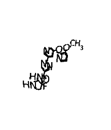 CCOc1cccnc1Oc1cncc(-c2ncc(C(=O)N[C@H]3CNCCC3(F)F)cn2)c1